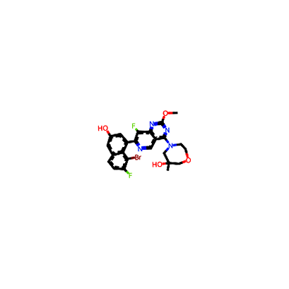 COc1nc(N2CCOCC(C)(O)C2)c2cnc(-c3cc(O)cc4ccc(F)c(Br)c34)c(F)c2n1